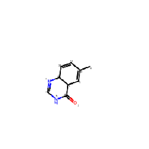 CC1=CC2C(=O)NC=NC2C=C1